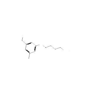 CCCCCCCCCCCCOc1cc(C)cc(CI)c1